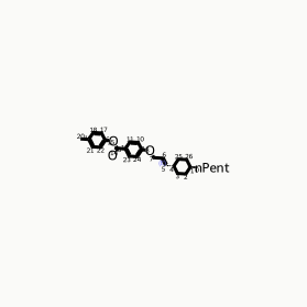 CCCCC[C@H]1CC[C@H](/C=C/COc2ccc(C(=O)Oc3ccc(C)cc3)cc2)CC1